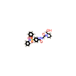 O=C(NCC(=O)N1CCCCC1CO)c1ccc(S(=O)(=O)N(Oc2ccccc2)c2ccccc2)cc1